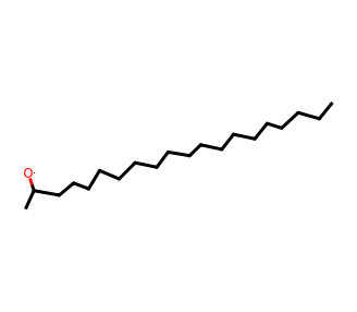 CCCCCCCCCCCCCCCCCCC(C)[O]